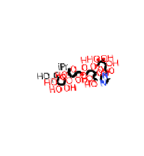 CC(C)C1OC(COC2OC(CO)C(O)C(OC3OC(C(=O)N4CCN(C)CC4)C(O)C(O)C3O)C2O)C(O)C(OC2OC(C(=O)O)C(O)C(O)C2O)C1O